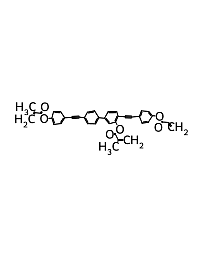 C=CC(=O)Oc1ccc(C#Cc2ccc(-c3ccc(C#Cc4ccc(OC(=O)C(=C)C)cc4)cc3)cc2OC(=O)C(=C)C)cc1